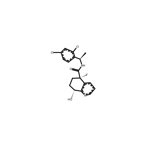 C[C@@H](NC(=O)[C@]1(F)CC[C@@H](O)c2ncccc21)c1ccc(Cl)cc1Cl